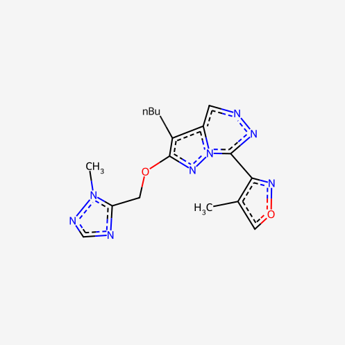 CCCCc1c(OCc2ncnn2C)nn2c(-c3nocc3C)nncc12